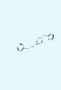 Cn1cccc1CN1CC2C(CNCc3cccc(OC(F)(F)F)c3)C2C1